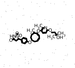 C=C1CC[C@@H](Oc2ccc(C3CC(=O)NS3(=O)=O)cc2)C/C=C\C=C/1Oc1ccc(OCCC(C)(C)O)nc1C